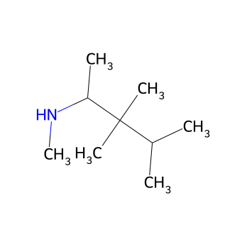 CNC(C)C(C)(C)C(C)C